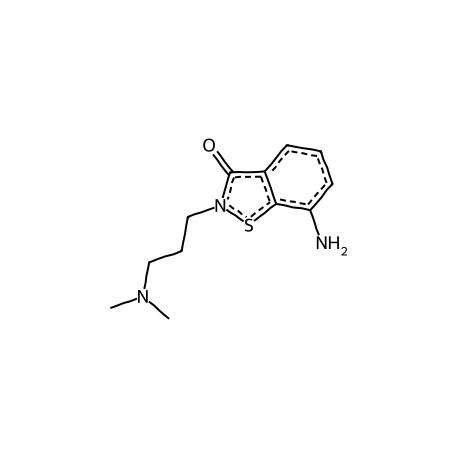 CN(C)CCCn1sc2c(N)cccc2c1=O